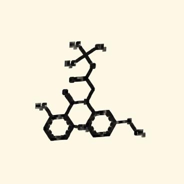 CSc1cccc(N(CC(=O)OC(C)(C)C)C(=O)c2c(C)cccc2C)c1